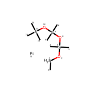 C[SiH2]O[Si](C)(C)O[Si](C)(C)O[Si](C)(C)C.[Pt]